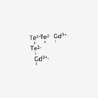 [Gd+3].[Gd+3].[Te-2].[Te-2].[Te-2]